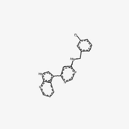 Clc1cccc(CNc2cc(-c3c[nH]c4ncccc34)ncn2)c1